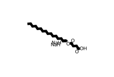 CCCCCCCCCCCCCCC=COC(=O)CCC(=O)O.[NaH].[NaH]